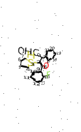 O=CC1C([SH]2C=CC=C2)=C(c2ccccc2F)Oc2ccccc21